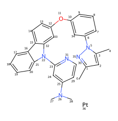 Cc1cc(C)n(-c2cccc(Oc3ccc4c5ccccc5n(-c5cc(N(C)C)ccn5)c4c3)c2)n1.[Pt]